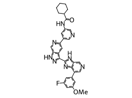 COc1cc(F)cc(-c2cncc3[nH]c(-c4n[nH]c5cnc(-c6cncc(NC(=O)C7CCCCC7)c6)cc45)nc23)c1